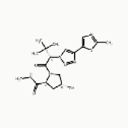 CNC(=O)[C@@H]1C[C@@H](O)CN1C(=O)[C@@H](n1cc(-c2cnc(C)s2)nn1)C(C)(C)C